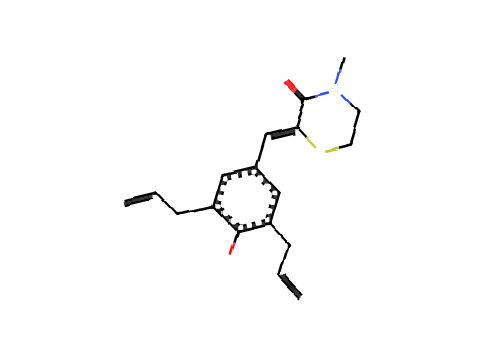 C=CCc1cc(C=C2SCCN(C)C2=O)cc(CC=C)c1O